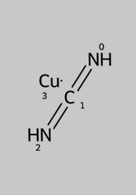 N=C=N.[Cu]